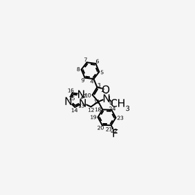 CN1OC(c2ccccc2)=CC1(Cn1cncn1)c1ccc(F)cc1